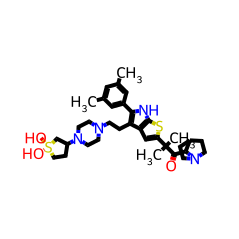 Cc1cc(C)cc(-c2[nH]c3sc(C(C)(C)C(=O)C4C5CCN4CC5)cc3c2CCN2CCN(C3CCS(O)(O)C3)CC2)c1